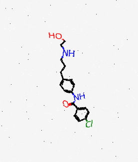 O=C(Nc1ccc(CCCNCCO)cc1)c1ccc(Cl)cc1